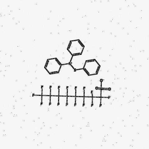 O=S(=O)([O-])C(F)(F)C(F)(F)C(F)(F)C(F)(F)C(F)(F)C(F)(F)C(F)(F)C(F)(F)F.c1ccc(S[S+](c2ccccc2)c2ccccc2)cc1